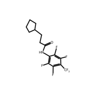 O=C(CCC1CCCC1)Nc1c(F)c(F)c(C(F)(F)F)c(F)c1F